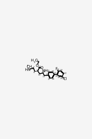 CCOC(=O)[C@H](CCNC)C[C@H](N)Cc1ccc(-c2cc(Cl)ccc2F)cc1